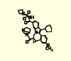 COc1ccc2c(c1)C1CC1(C(=O)N1CCN3CCC1CC3)Cn1c-2c(C2CCCCC2)c2ccc(C(=O)NS(=O)(=O)N3CCC3)cc21